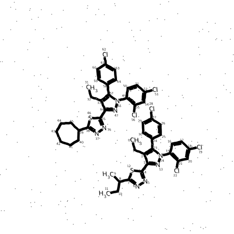 CCc1c(-c2nnc(C(C)CC)s2)nn(-c2ccc(Cl)cc2Cl)c1-c1ccc(Cl)cc1.CCc1c(-c2nnc(C3CCCCCC3)s2)nn(-c2ccc(Cl)cc2Cl)c1-c1ccc(Cl)cc1